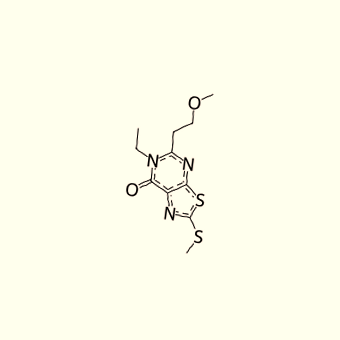 CCn1c(CCOC)nc2sc(SC)nc2c1=O